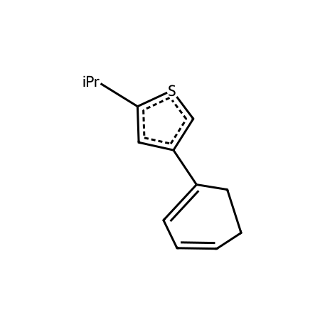 CC(C)c1cc(C2=CC=CCC2)cs1